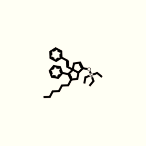 CCCCCCC1=C(c2ccccc2)C2(C=Cc3ccccc3)CC=C(O[Si](CC)(CC)CC)C2C1